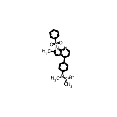 Cc1cc2c(-c3ccc(N(C)[S+](C)[O-])cc3)ccnc2n1S(=O)(=O)c1ccccc1